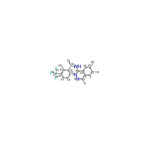 Cc1cc2c(C)nnc(N[C@H](C)c3cccc(C(F)(F)F)c3C)c2cc1C